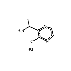 CC(N)c1nccnc1Cl.Cl